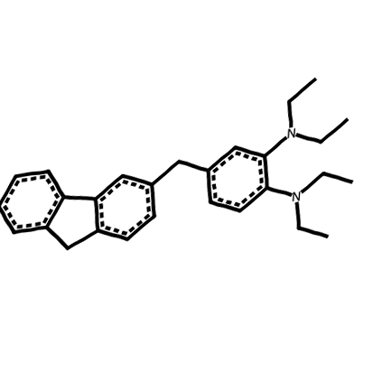 CCN(CC)c1ccc(Cc2ccc3c(c2)-c2ccccc2C3)cc1N(CC)CC